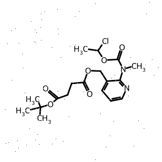 CC(Cl)OC(=O)N(C)c1ncccc1COC(=O)CCC(=O)OC(C)(C)C